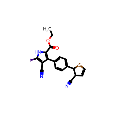 CCOC(=O)c1[nH]c(I)c(C#N)c1-c1ccc(C2SC=CC2C#N)cc1